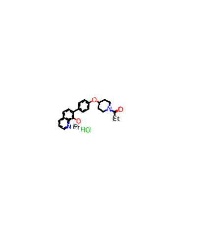 CCC(=O)N1CCC(Oc2ccc(-c3ccc4cccnc4c3OC(C)C)cc2)CC1.Cl